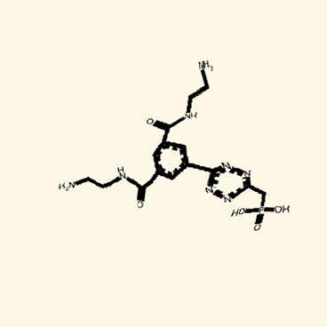 NCCNC(=O)c1cc(C(=O)NCCN)cc(-c2nnc(CP(=O)(O)O)nn2)c1